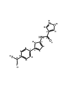 O=C(Nc1ccc(-c2ccc(C(F)F)cc2)s1)c1cnoc1